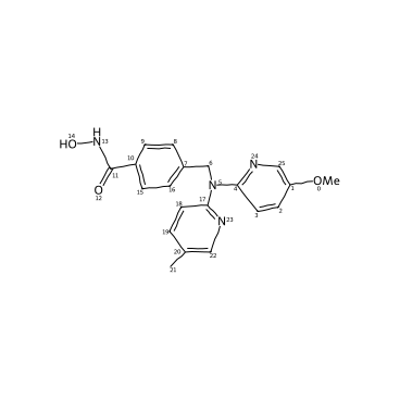 COc1ccc(N(Cc2ccc(C(=O)NO)cc2)c2ccc(C)cn2)nc1